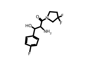 NC(C(=O)N1CCC(F)(F)C1)C(O)c1ccc(F)cc1